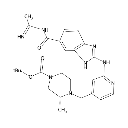 CC(=N)NC(=O)c1ccc2nc(Nc3cc(CN4CCN(C(=O)OC(C)(C)C)C[C@H]4C)ccn3)[nH]c2c1